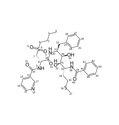 CCCCS(=O)(=O)C[C@@H](NC(=O)c1cccnc1)C(=O)N[C@@H](Cc1ccccc1)[C@@H](O)[C@H](O)[C@@H](CCSC)NC(=O)c1ccccc1